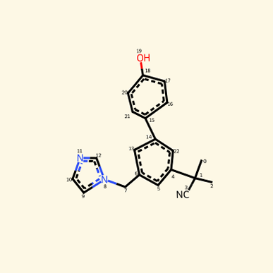 CC(C)(C#N)c1cc(Cn2ccnc2)cc(-c2ccc(O)cc2)c1